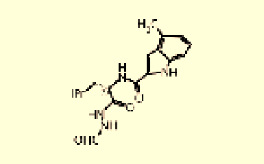 Cc1cccc2[nH]c(C(=O)N[C@@H](CC(C)C)C(=O)NNC=O)cc12